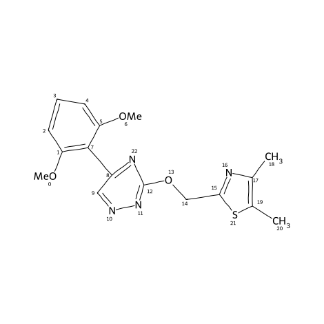 COc1cccc(OC)c1-c1cnnc(OCc2nc(C)c(C)s2)n1